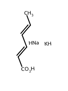 CC=CC=CC(=O)O.[KH].[NaH]